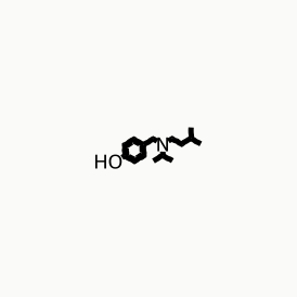 CC(C)CCN(Cc1ccc(O)cc1)C(C)C